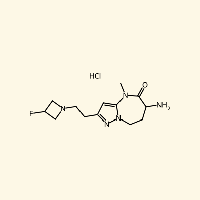 CN1C(=O)C(N)CCn2nc(CCN3CC(F)C3)cc21.Cl